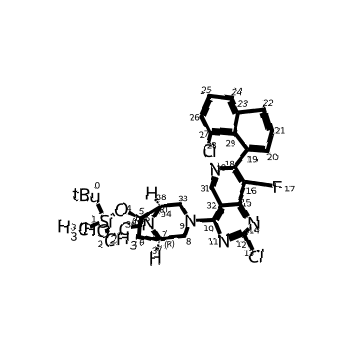 CC(C)(C)[Si](C)(C)O[C@@H]1C[C@@H]2CN(c3nc(Cl)nc4c(F)c(-c5cccc6cccc(Cl)c56)ncc34)C[C@H]1N2C(=O)O